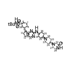 CC(C)(C)NS(=O)(=O)c1cccc(-c2ccc3cnc(Nc4ccc(N5CCC(N6CCNC(=O)C6)CC5)cc4)nn23)c1